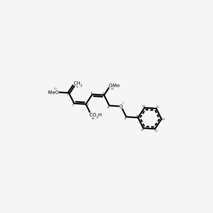 C=C(/C=C(\C=C(/COCc1ccccc1)OC)C(=O)O)OC